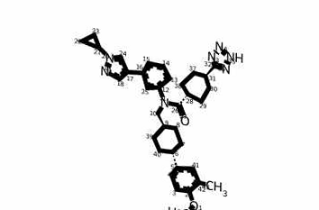 COc1ccc([C@H]2CC[C@H](CN(c3cccc(-c4cnn(C5CC5)c4)c3)C(=O)[C@H]3CC[C@H](c4nn[nH]n4)CC3)CC2)cc1C